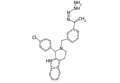 C=C(/N=N\NN)c1cccc(CN2CCc3c([nH]c4ccccc34)C2c2ccc(Cl)cc2)c1